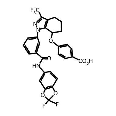 O=C(O)c1ccc(OC2CCCc3c(C(F)(F)F)nn(-c4cccc(C(=O)Nc5ccc6c(c5)OC(F)(F)O6)c4)c32)cc1